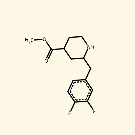 COC(=O)C1CCNC(Cc2ccc(F)c(F)c2)C1